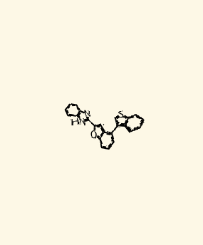 [c]1c(-c2nc3ccccc3[nH]2)oc2cccc(-c3csc4ccccc34)c12